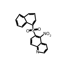 O=[N+]([O-])c1c(S(=O)(=O)c2cccc3ccccc23)ccc2ncccc12